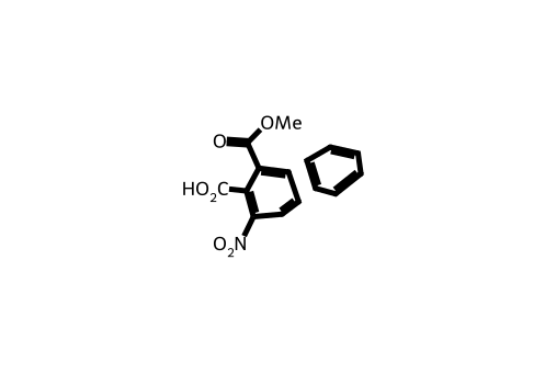 COC(=O)c1cccc([N+](=O)[O-])c1C(=O)O.c1ccccc1